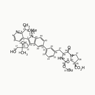 CCn1c(-c2cccnc2C(C)OC)c(CC(C)(C)CO)c2cc(-c3cccc(CC(NC(=O)OC(C)(C)C)C(=O)N4CC[C@@H](C(=O)O)C4)c3)ccc21